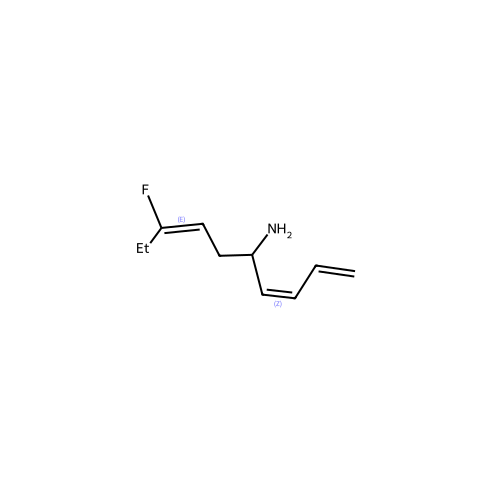 C=C/C=C\C(N)C/C=C(/F)CC